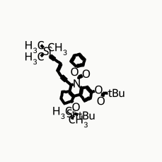 CC(C)(C)C(=O)Oc1ccc2c(c1)N(C(=O)Oc1ccccc1)C(C#CC=CC#C[Si](C)(C)C)C1=C2C(O[Si](C)(C)C(C)(C)C)CCC1